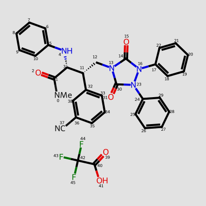 CNC(=O)[C@H](Nc1ccccc1)[C@H](Cn1c(=O)n(-c2ccccc2)n(-c2ccccc2)c1=O)c1cccc(C#N)c1.O=C(O)C(F)(F)F